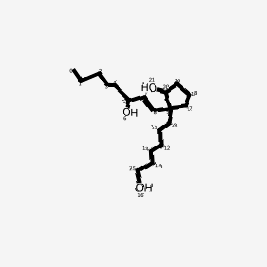 CCCCCC(O)C=CC1(CCCCCCO)CCCC1O